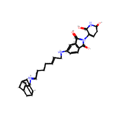 O=C1CCC(N2C(=O)c3ccc(NCCCCCCCNC45CC6CC(CC(C6)C4)C5)cc3C2=O)C(=O)N1